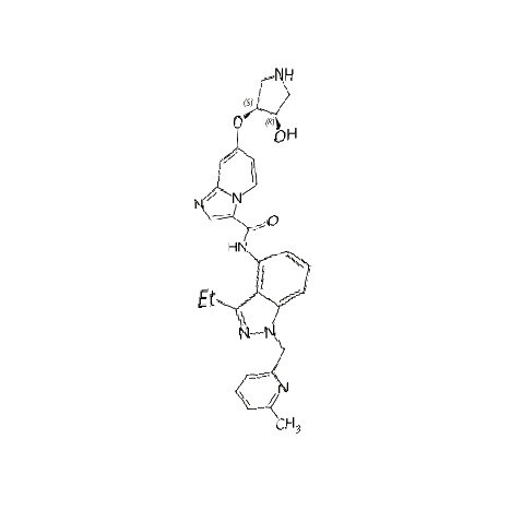 CCc1nn(Cc2cccc(C)n2)c2cccc(NC(=O)c3cnc4cc(O[C@H]5CNC[C@H]5O)ccn34)c12